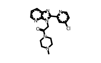 CN1CCN(C(=O)Cn2c(-c3cc(Cl)ccn3)nc3cccnc32)CC1